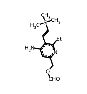 CCc1nc(COC=O)cc(N)c1C=C[Si](C)(C)C